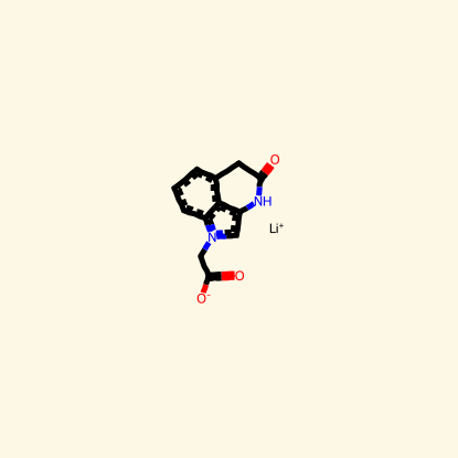 O=C([O-])Cn1cc2c3c(cccc31)CC(=O)N2.[Li+]